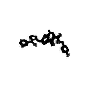 Cn1cc(C(=O)NCc2ccc(Cl)cc2)c(=O)c2cc(CN3CCC[C@@H]3C(O)c3cncnc3)sc21